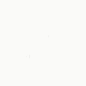 Clc1ccccc1C(Cl)C1CCCCC1